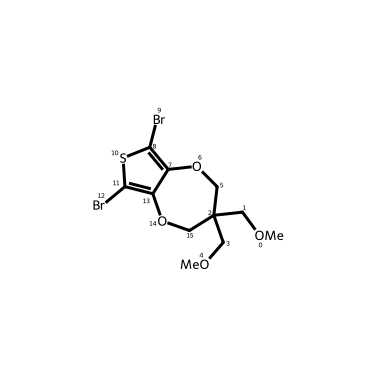 COCC1(COC)COc2c(Br)sc(Br)c2OC1